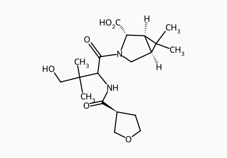 CC(C)(CO)C(NC(=O)[C@H]1CCOC1)C(=O)N1C[C@H]2[C@@H]([C@H]1C(=O)O)C2(C)C